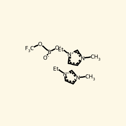 CC[n+]1ccn(C)c1.CC[n+]1ccn(C)c1.[O-]B([O-])OC(F)(F)F